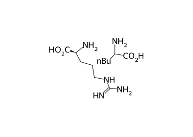 CCCCC(N)C(=O)O.N=C(N)NCCC[C@H](N)C(=O)O